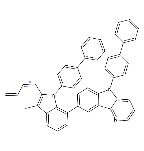 C=C/C=C\c1c(C)c2cccc(-c3ccc4c(c3)c3ncccc3n4-c3ccc(-c4ccccc4)cc3)c2n1-c1ccc(-c2ccccc2)cc1